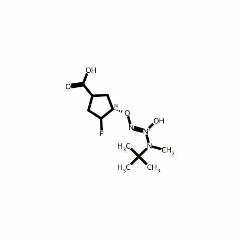 CN(/[N+](O)=N/O[C@H]1CC(C(=O)O)CC1F)C(C)(C)C